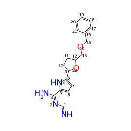 N=C/N=C(/N)c1ccc(C2CCC(COCc3ccccc3)O2)[nH]1